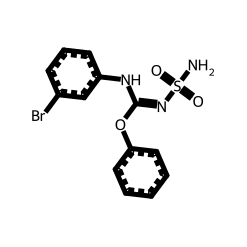 NS(=O)(=O)N=C(Nc1cccc(Br)c1)Oc1ccccc1